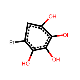 CCc1cc(O)c(O)c(O)c1O